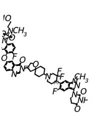 CN(CCO)S(=O)(=O)Nc1ccc(F)c(Oc2ccc3ncn([C@H]4COC5(CCC(N6CC[C@H](c7cc8c(cc7F)c(N7CCC(=O)NC7=O)nn8C)C(F)(F)C6)CC5)C4)c(=O)c3c2)c1C#N